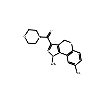 Cn1nc(C(=O)N2CCOCC2)c2c1-c1cc([N+](=O)[O-])ccc1SC2